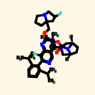 CC(C)c1cccc(C(C)C)c1-c1ncc2c(N3C[C@H]4CC[C@@H](C3)N4C(=O)OC(C)(C)C)nc(OCC34CCCN3CC(F)C4)nc2c1F